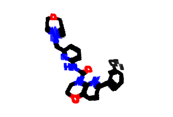 O=C(Nc1cccc(CN2CCOCC2)n1)N1CCOc2ccc(-c3cccc(C(F)(F)F)c3)nc21